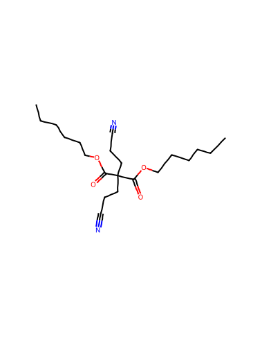 CCCCCCOC(=O)C(CCC#N)(CCC#N)C(=O)OCCCCCC